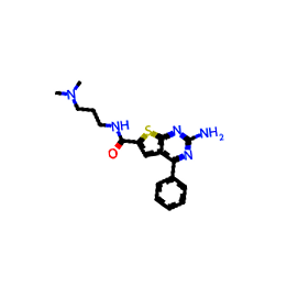 CN(C)CCCNC(=O)c1cc2c(-c3ccccc3)nc(N)nc2s1